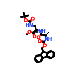 COC(=O)[C@@H](CNC(=O)OC(C)(C)C)NC(=O)[C@H](C)NC(=O)OCC1c2ccccc2-c2ccccc21